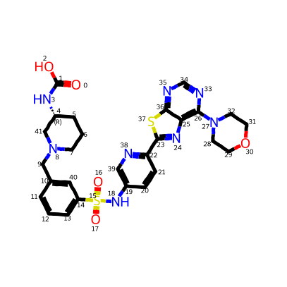 O=C(O)N[C@@H]1CCCN(Cc2cccc(S(=O)(=O)Nc3ccc(-c4nc5c(N6CCOCC6)ncnc5s4)nc3)c2)C1